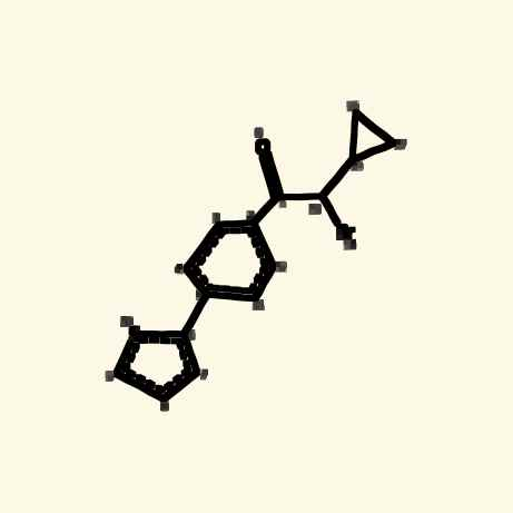 O=C(c1ccc(-c2cccs2)cc1)C(Br)C1CC1